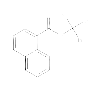 O=C(OC(Br)(Br)Br)c1cccc2ccccc12